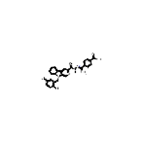 C/C(=N\NC(=O)c1cc2c3ccccc3n(Cc3cc(Cl)ccc3Cl)c2cn1)c1ccc(C(=O)O)cc1